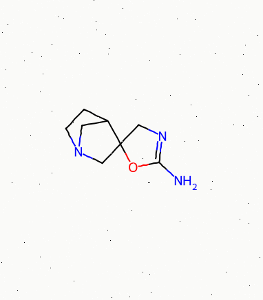 NC1=NCC2(CN3CCC2C3)O1